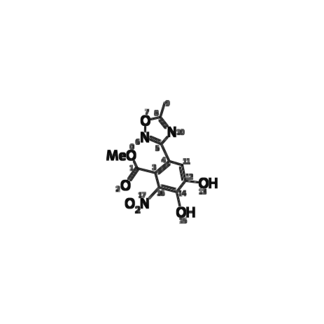 COC(=O)c1c(-c2noc(C)n2)cc(O)c(O)c1[N+](=O)[O-]